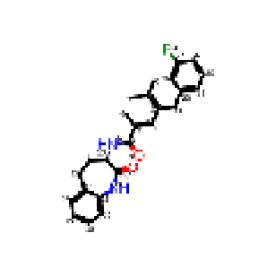 CC(C)=C(/C=C(\C)C(=O)N[C@H]1CCc2ccccc2NC1=O)Cc1cccc(F)c1